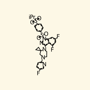 CC(C)S(=O)(=O)c1ccc(S(=O)(=O)n2nc(N3CCN(c4ccc(F)cn4)CC34CC4)c3c(F)cc(F)cc32)cc1